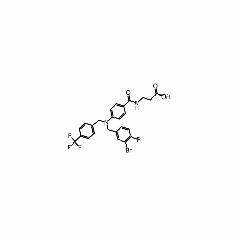 O=C(O)CCNC(=O)c1ccc(N(Cc2ccc(C(F)(F)F)cc2)Cc2ccc(F)c(Br)c2)cc1